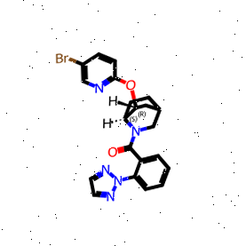 O=C(c1ccccc1-n1nccn1)N1CC2CC[C@H]1[C@H](Oc1ccc(Br)cn1)C2